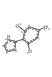 FC(F)(F)c1cc(Cl)c(-c2ncc[nH]2)c(Cl)c1